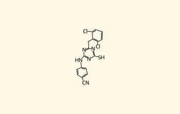 N#Cc1ccc(Nc2nc(S)nc(Cc3c(Cl)cccc3Cl)n2)cc1